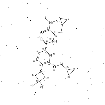 CN(C)C(=O)[C@H](CC1CC1)NC(=O)c1cnc(N2CC(F)(F)C2)c(OCC2CC2)n1